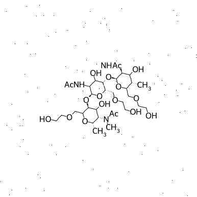 CC(=O)NC1C(O)[C@H](O[C@@H]2OC(COCCO)[C@@H](C)C(O)[C@@H]2NC(C)=O)[C@H](COCCO)O[C@H]1O[C@@H]1C(COCCO)O[C@@H](C)[C@@H](N(C)C(C)=O)C1O